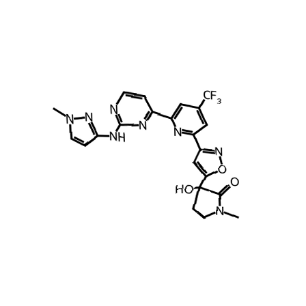 CN1CCC(O)(c2cc(-c3cc(C(F)(F)F)cc(-c4ccnc(Nc5ccn(C)n5)n4)n3)no2)C1=O